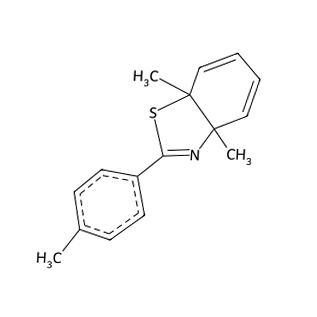 Cc1ccc(C2=NC3(C)C=CC=CC3(C)S2)cc1